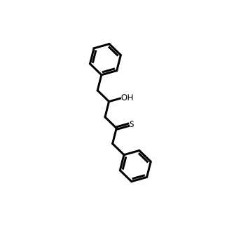 OC(CC(=S)Cc1ccccc1)Cc1ccccc1